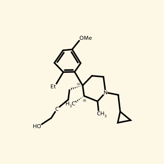 CCc1ccc(OC)cc1[C@@]1(CCCCO)CCN(CC2CC2)C(C)[C@@H]1C